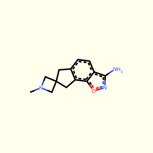 CN1CC2(Cc3ccc4c(N)noc4c3C2)C1